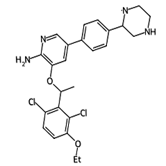 CCOc1ccc(Cl)c(C(C)Oc2cc(-c3ccc(C4CNCC[N]4)cc3)cnc2N)c1Cl